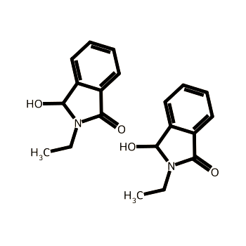 CCN1C(=O)c2ccccc2C1O.CCN1C(=O)c2ccccc2C1O